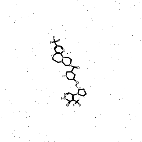 O=C(C1CNCC(OC[C@@H]2CCCN2c2cn[nH]c(=O)c2C(F)(F)F)C1)N1CCN2c3ncc(C(F)(F)F)cc3OCCC2C1